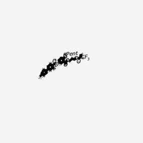 C=C(C(=O)OCCCOC(=O)c1cc(OC(=O)c2ccc(-c3ccc(C)cc3)cc2F)ccc1OCCCCC)C(F)(F)F